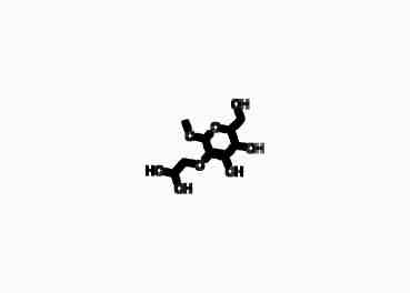 COC1OC(CO)C(O)C(O)=C1OCC(O)O